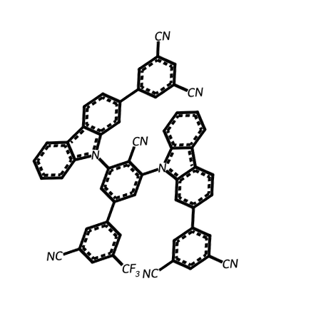 N#Cc1cc(C#N)cc(-c2ccc3c4ccccc4n(-c4cc(-c5cc(C#N)cc(C(F)(F)F)c5)cc(-n5c6ccccc6c6ccc(-c7cc(C#N)cc(C#N)c7)cc65)c4C#N)c3c2)c1